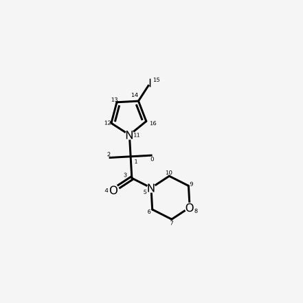 CC(C)(C(=O)N1CCOCC1)n1ccc(I)c1